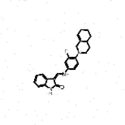 O=C1Nc2ccccc2C1=CNc1ccc(N2CCC3CCCC=C3C2)c(F)c1